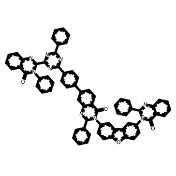 O=c1c2ccccc2nc(-c2ccccc2)n1-c1ccc2oc3ccc(-n4c(-c5ccccc5)nc5cc(-c6ccc(-c7nc(-c8ccccc8)nc(-c8nc9ccccc9c(=O)n8-c8ccccc8)n7)cc6)ccc5c4=O)cc3c2c1